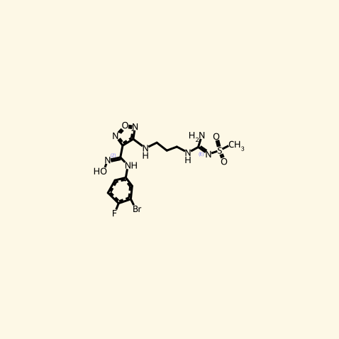 CS(=O)(=O)/N=C(\N)NCCCNc1nonc1/C(=N/O)Nc1ccc(F)c(Br)c1